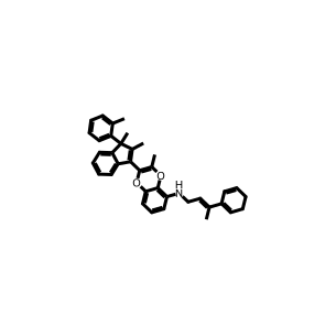 CC1=C(C2=C(C)C(C)(c3ccccc3C)c3ccccc32)Oc2cccc(NC/C=C(\C)C3=CCCC=C3)c2O1